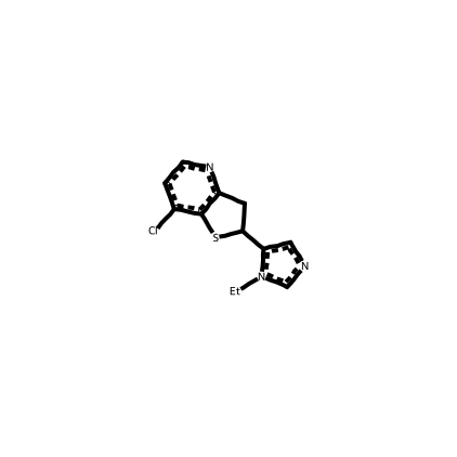 CCn1cncc1C1Cc2nccc(Cl)c2S1